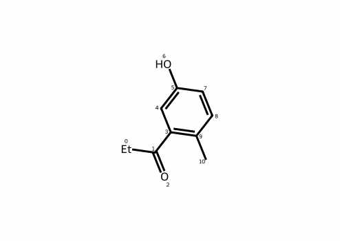 CCC(=O)c1cc(O)ccc1C